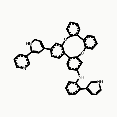 C1=CNCC(c2ccccc2Nc2ccc3c(c2)Oc2ccccc2-c2ccccc2Oc2cc(C4=CCNC(c5cccnc5)=C4)ccc2-3)=C1